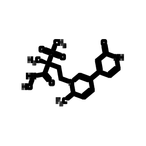 C[C@@](CCN1C=C(c2cc[nH]c(=O)c2)C=CC1C(F)(F)F)(C(=O)NO)S(C)(=O)=O